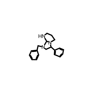 c1ccc(CN2CC(c3ccccc3)N3CCCNC23)cc1